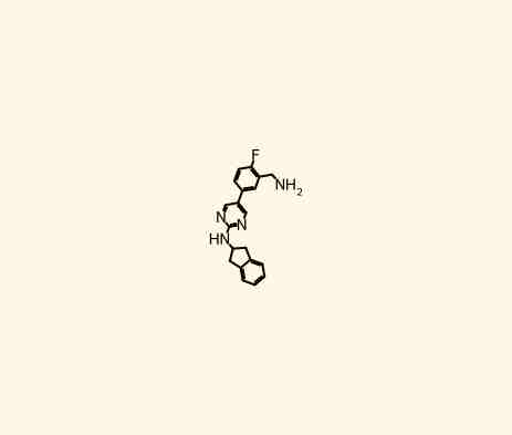 NCc1cc(-c2cnc(NC3Cc4ccccc4C3)nc2)ccc1F